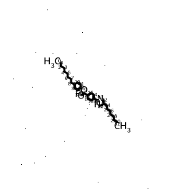 CCCCCCCCCc1ccc(OC(=O)c2ccc(-c3ncc(CCCCCCCC)cn3)cc2)c(F)c1